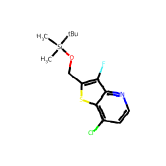 CC(C)(C)[Si](C)(C)OCc1sc2c(Cl)ccnc2c1F